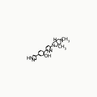 CN1C[C@H]2CN(c3ccc(-c4ccc(-c5cn[nH]c5)cc4O)nn3)C[C@@]2(C)C1